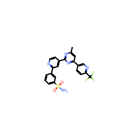 Cc1cc(-c2ccc(C(F)(F)F)nc2)nc(-c2ccnc(-c3cccc(S(N)(=O)=O)c3)c2)n1